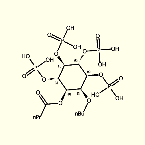 CCCCO[C@H]1[C@@H](OC(=O)CCC)[C@H](OP(=O)(O)O)[C@@H](OP(=O)(O)O)[C@H](OP(=O)(O)O)[C@H]1OP(=O)(O)O